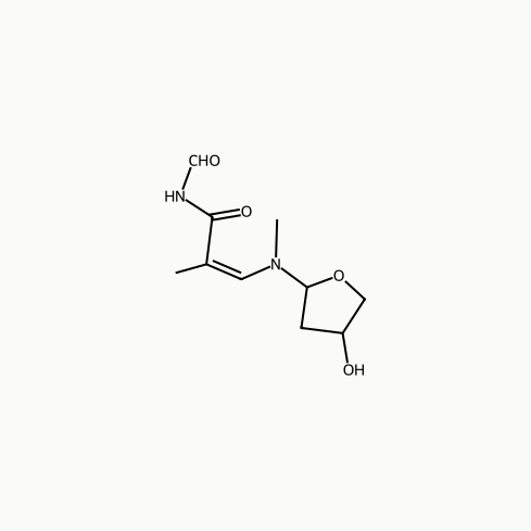 C/C(=C/N(C)C1CC(O)CO1)C(=O)NC=O